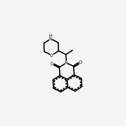 CC(C1CNCCO1)N1C(=O)c2cccc3cccc(c23)C1=O